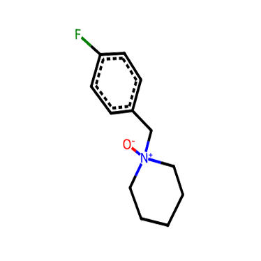 [O-][N+]1(Cc2ccc(F)cc2)CCCCC1